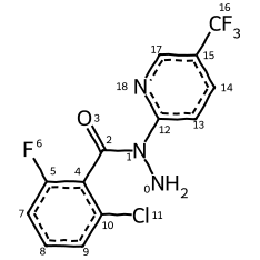 NN(C(=O)c1c(F)cccc1Cl)c1ccc(C(F)(F)F)cn1